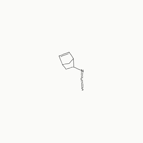 S=C=NC1CC2C=CC1C2